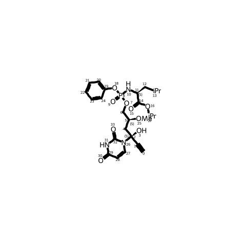 C#C[C@@](O)(C[C@@H](COP(=O)(N[C@@H](CC(C)C)C(=O)OC(C)C)Oc1ccccc1)OC)n1ccc(=O)[nH]c1=O